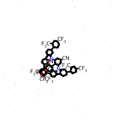 N#Cc1cc(-n2c3cc(-c4ccc(C(F)(F)F)cc4C(F)(F)F)ccc3c3ccc(-c4ccc(C(F)(F)F)cc4C(F)(F)F)cc32)c(-c2ccc(C(F)(F)F)cc2C#N)c(-n2c3cc(-c4ccc(C(F)(F)F)cc4C(F)(F)F)ccc3c3ccc(-c4ccc(C(F)(F)F)cc4C(F)(F)F)cc32)c1